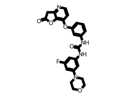 O=C(Nc1cccc(Oc2ccnc3c2OC(=O)C3)c1)Nc1cc(F)cc(N2CCOCC2)c1